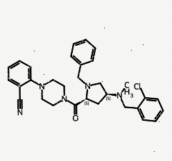 CN(Cc1ccccc1Cl)[C@H]1C[C@@H](C(=O)N2CCN(c3ccccc3C#N)CC2)N(Cc2ccccc2)C1